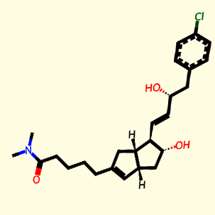 CN(C)C(=O)CCCCC1=C[C@H]2C[C@@H](O)[C@H](/C=C/[C@H](O)Cc3ccc(Cl)cc3)[C@H]2C1